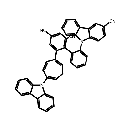 N#Cc1cc(C#N)c(-c2ccccc2-n2c3ccccc3c3cc(C#N)ccc32)c(C2=CCC=C(n3c4ccccc4c4ccccc43)C=C2)c1